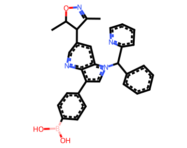 CC1=NOC(C)C1c1cnc2c(-c3ccc(B(O)O)cc3)cn(C(c3ccccc3)c3ccccn3)c2c1